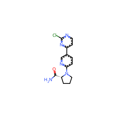 NC(=O)[C@H]1CCCN1c1ccc(-c2ccnc(Cl)n2)cn1